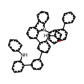 c1ccc(Nc2ccccc2-c2cccc(-c3ccc(Nc4cccc(-c5ccccc5)c4)c(-c4cccc5c6ccccc6n(-c6ccccc6)c45)c3)c2)cc1